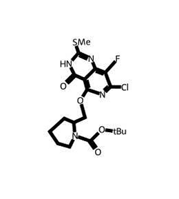 CSc1nc2c(F)c(Cl)nc(OCC3CCCCN3C(=O)OC(C)(C)C)c2c(=O)[nH]1